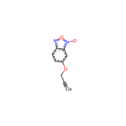 C#CCOc1ccc2no[n+]([O-])c2c1